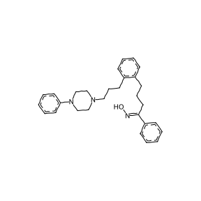 ON=C(CCCc1ccccc1CCCN1CCN(c2ccccc2)CC1)c1ccccc1